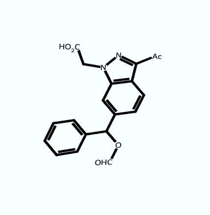 CC(=O)c1nn(CC(=O)O)c2cc(C(OC=O)c3ccccc3)ccc12